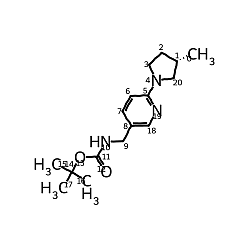 C[C@H]1CCN(c2ccc(CNC(=O)OC(C)(C)C)cn2)C1